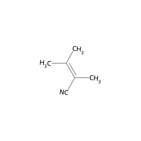 CC(C)=C(C)C#N